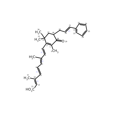 CC1=C(/C=C/C(C)=C/C=C/C(C)=C/C(=O)O)C(C)(C)CC(C/C=C/c2ccccc2)C1=O